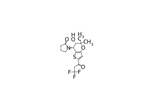 CC1(C)Oc2cc(C(=O)CC(F)(F)F)sc2[C@@H](N2CCCC2=O)[C@@H]1O